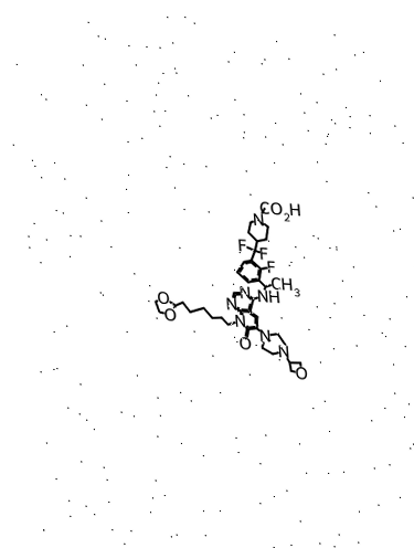 CC(Nc1ncnc2c1cc(N1CCN(C3COC3)CC1)c(=O)n2CCCCCCC1OCCO1)c1cccc(C(F)(F)C2CCN(C(=O)O)CC2)c1F